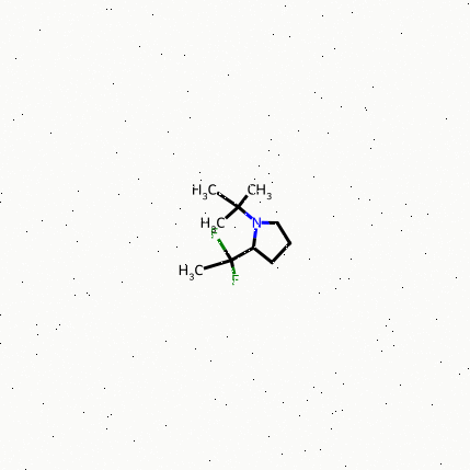 CC(F)(F)C1CCCN1C(C)(C)C